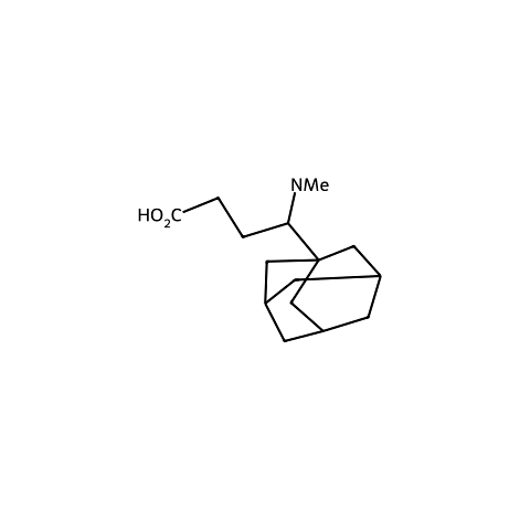 CNC(CCC(=O)O)C12CC3CC(CC(C3)C1)C2